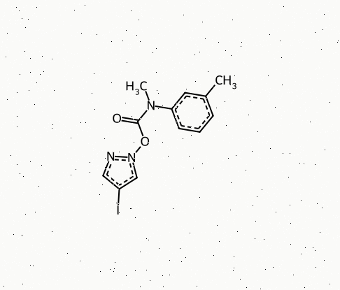 Cc1cccc(N(C)C(=O)On2cc(I)cn2)c1